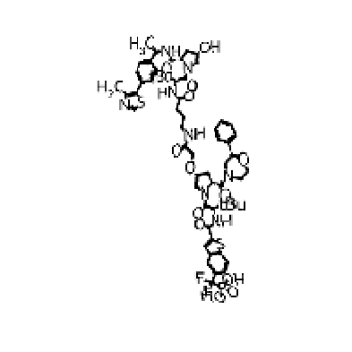 Cc1ncsc1-c1ccc(C(C)NC(=O)[C@@H]2C[C@@H](O)CN2C(=O)C(NC(=O)CCCNC(=O)CO[C@H]2C[C@@H](C(=O)N3CCO[C@H](c4ccccc4)C3)N(C(=O)C(NC(=O)c3cc4cc(C(F)(F)P(=O)(O)O)ccc4s3)C(C)(C)C)C2)C(C)(C)C)cc1